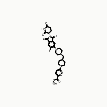 CC(C)(C)OC(=O)c1ccc(N2CCC(CN3CCN(c4cc5c(cc4F)C(=O)N([C@H]4CCC(=O)NC4=O)C5=O)CC3)CC2)nn1